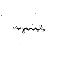 CCOC(=O)/C=C/CCCC[N+](=O)O